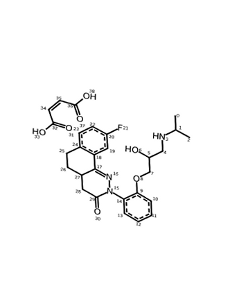 CC(C)NCC(O)COc1ccccc1N1N=C2c3cc(F)ccc3CCC2CC1=O.O=C(O)/C=C\C(=O)O